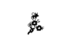 CCCC[C@]1(CC)CN(c2ccc(F)cc2)c2cc(SC)c(OCC3(C(=O)O)CC3)cc2S(=O)(=O)C1